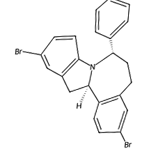 Brc1ccc2c(c1)CC[C@@H](c1ccccc1)N1c3ccc(Br)cc3C[C@H]21